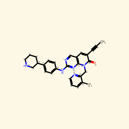 CC#Cc1cc2cnc(Nc3ccc(C4CCCNC4)cc3)nc2n(Cc2ncccc2C(F)(F)F)c1=O